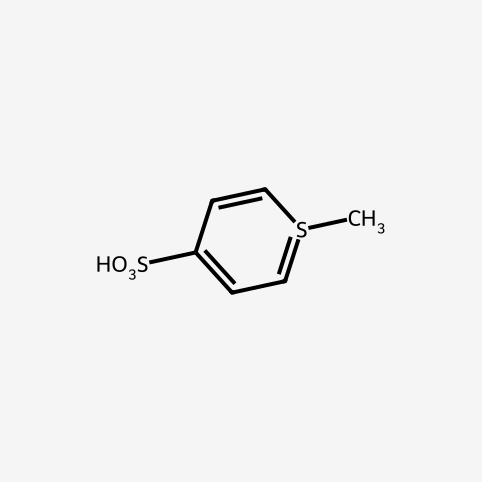 CS1=CC=C(S(=O)(=O)O)C=C1